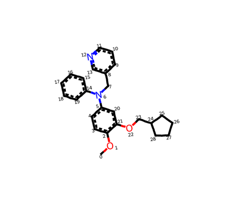 COc1ccc(N(Cc2cccnc2)c2ccccc2)cc1OCC1CCCC1